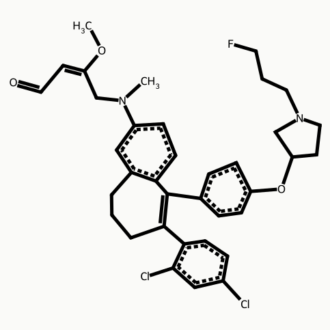 CO/C(=C/C=O)CN(C)c1ccc2c(c1)CCCC(c1ccc(Cl)cc1Cl)=C2c1ccc(OC2CCN(CCCF)C2)cc1